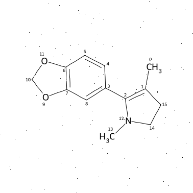 CC1=C(c2ccc3c(c2)OCO3)N(C)CC1